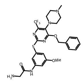 COc1cc(NC(=O)CN)cc(Sc2nc(OCc3ccccc3)c(N3CCN(C)CC3)c(C(F)(F)F)n2)c1